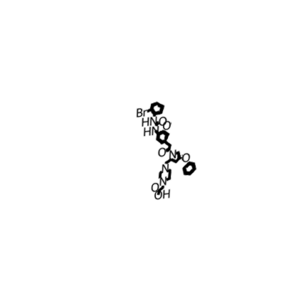 COc1cc(CC(=O)N2C[C@@H](Oc3ccccc3)CC2CN2CCN(CC(=O)O)CC2)ccc1NC(=O)Nc1ccccc1Br